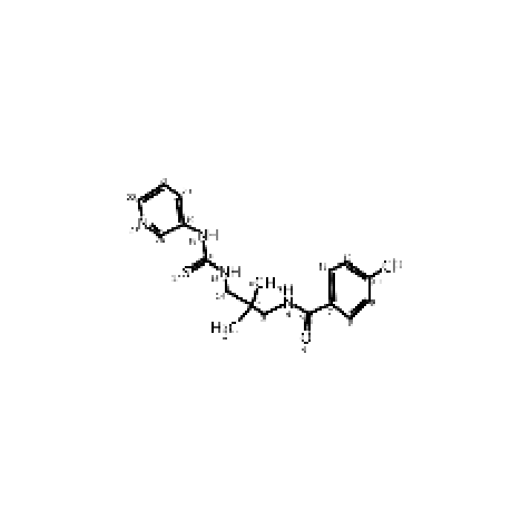 CC(C)(CNC(=O)c1ccc(Cl)cc1)CNC(=S)Nc1cccnc1